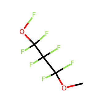 COC(F)(F)C(F)(F)C(F)(F)OF